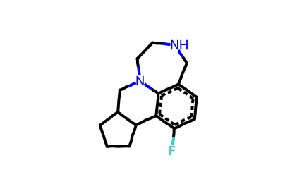 Fc1ccc2c3c1C1CCCC1CN3CCNC2